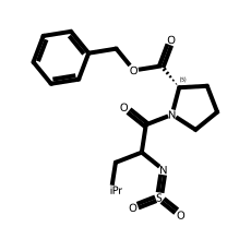 CC(C)CC(N=S(=O)=O)C(=O)N1CCC[C@H]1C(=O)OCc1ccccc1